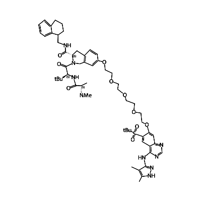 CN[C@@H](C)C(=O)N[C@H](C(=O)N1Cc2cc(OCCOCCOCCOCCOc3cc4ncnc(Nc5n[nH]c(C)c5C)c4cc3S(=O)(=O)C(C)(C)C)ccc2C[C@H]1C(=O)NCC1CCCc2ccccc21)C(C)(C)C